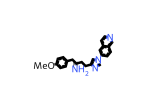 COc1ccc(C[C@H](N)CCc2cn(-c3ccc4cnccc4c3)cn2)cc1